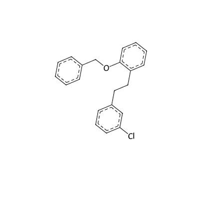 Clc1cccc(CCc2ccccc2OCc2ccccc2)c1